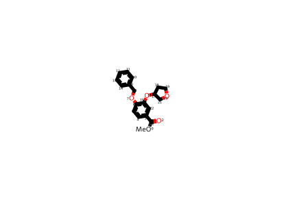 COC(=O)c1ccc(OCc2ccccc2)c(OC2CCOC2)c1